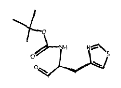 CC(C)(C)OC(=O)N[C@H]([C]=O)Cc1cscn1